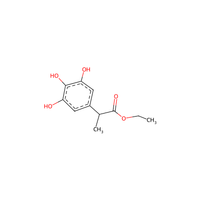 CCOC(=O)C(C)c1cc(O)c(O)c(O)c1